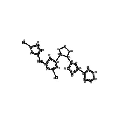 CCc1cc(Nc2cc(Cl)nc(N3CCCC3c3cc(-c4ncccn4)no3)n2)n[nH]1